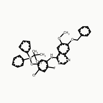 COc1cc2c(Nc3cc(O[Si](c4ccccc4)(c4ccccc4)C(C)(C)C)c(Cl)cc3F)ncnc2cc1OCc1ccccc1